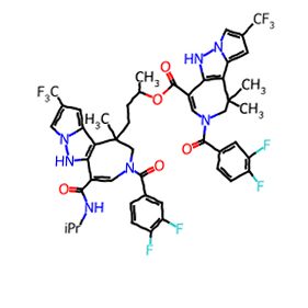 CC(C)NC(=O)C1=CN(C(=O)c2ccc(F)c(F)c2)CC(C)(CCC(C)OC(=O)C2=CN(C(=O)c3ccc(F)c(F)c3)CC(C)(C)c3c2[nH]n2cc(C(F)(F)F)cc32)c2c1[nH]n1cc(C(F)(F)F)cc21